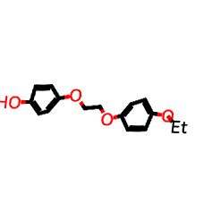 CCOc1ccc(OCCOc2ccc(O)cc2)cc1